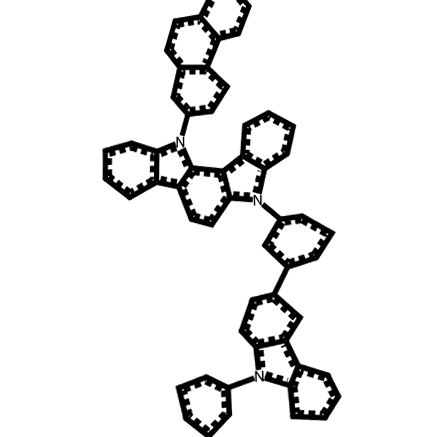 c1ccc(-n2c3ccccc3c3cc(-c4cccc(-n5c6ccccc6c6c5ccc5c7ccccc7n(-c7ccc8c(ccc9ccccc98)c7)c56)c4)ccc32)cc1